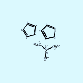 C1=CCC=C1.C1=CCC=C1.CCC[SiH](OC)OC